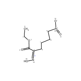 CCOC(=O)/C(CCCC[N+](=O)[O-])=N\O